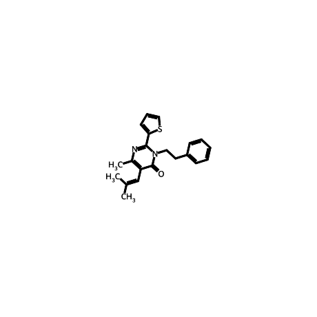 CC(C)=Cc1c(C)nc(-c2cccs2)n(CCc2ccccc2)c1=O